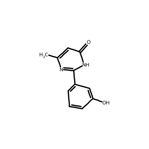 Cc1cc(=O)[nH]c(-c2cccc(O)c2)n1